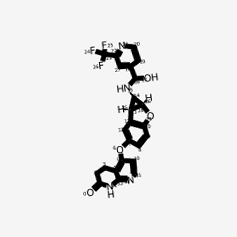 O=C1CCc2c(Oc3ccc4c(c3)[C@H]3[C@H](NC(O)c5ccnc(C(F)(F)F)c5)[C@H]3O4)ccnc2N1